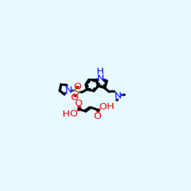 CN(C)CCc1c[nH]c2ccc(CS(=O)(=O)N3CCCC3)cc12.O=C(O)C=CC(=O)O